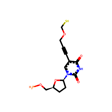 O=c1[nH]c(=O)n([C@H]2CC[C@@H](COP)O2)cc1C#CCOCS